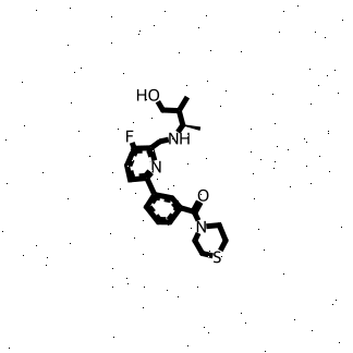 CC(CO)[C@@H](C)NCc1nc(-c2cccc(C(=O)N3CCSCC3)c2)ccc1F